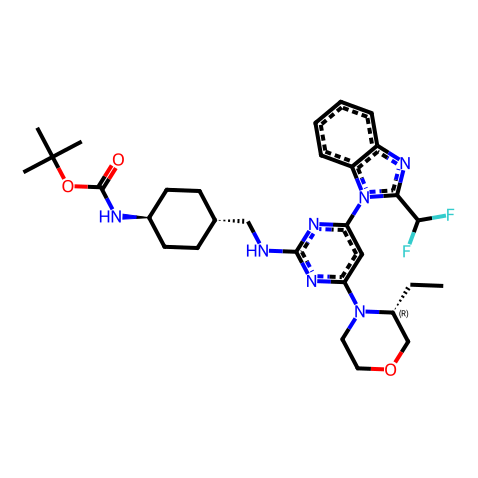 CC[C@@H]1COCCN1c1cc(-n2c(C(F)F)nc3ccccc32)nc(NC[C@H]2CC[C@H](NC(=O)OC(C)(C)C)CC2)n1